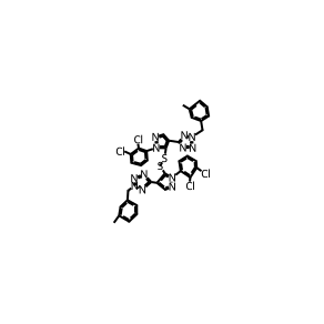 Cc1cccc(Cn2nnc(-c3cnn(-c4cccc(Cl)c4Cl)c3SSc3c(-c4nnn(Cc5cccc(C)c5)n4)cnn3-c3cccc(Cl)c3Cl)n2)c1